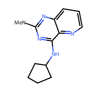 CNc1nc(NC2CCCC2)c2ncccc2n1